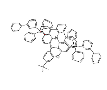 CC(C)(C)c1ccc2c(c1)Oc1cc([Si](c3ccccc3)(c3ccccc3)c3cccc(-c4ccccc4)c3)cc3c1B2c1ccc([Si](c2ccccc2)(c2ccccc2)c2cccc(-c4ccccc4)c2)cc1N3c1c(-c2ccccc2)cccc1-c1ccccc1